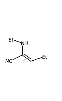 CC/C=C(/C#N)NCC